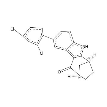 O=C1c2c([nH]c3ccc(-c4ccc(Cl)cc4Cl)cc23)[C@H]2CC[C@@H]1C2